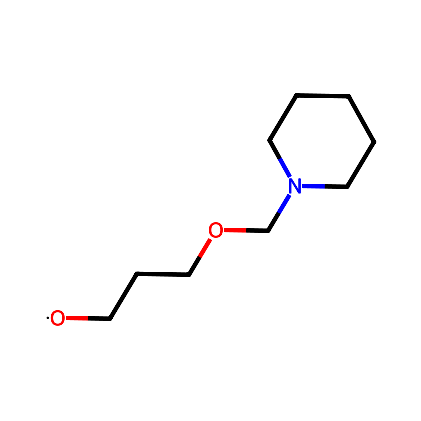 [O]CCCOCN1CCCCC1